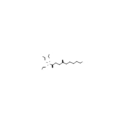 CCCCCCC(=O)CCC(=S)[Si](OCC)(OCC)OCC